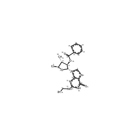 CC[C@@H]1O[C@@H](n2cnc3c(=O)[nH]c(NCC(C)C)nc32)[C@H](OC(=O)c2ccccc2)[C@H]1C